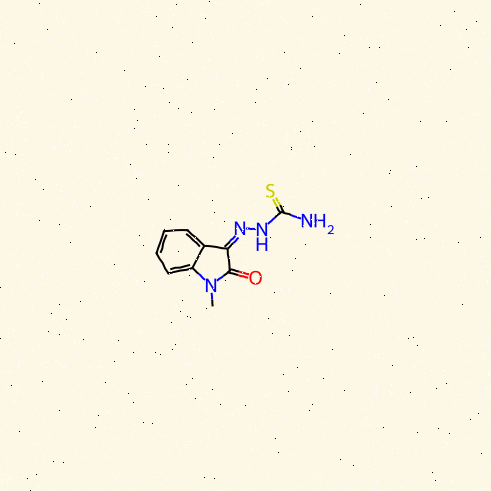 CN1C(=O)C(=NNC(N)=S)c2ccccc21